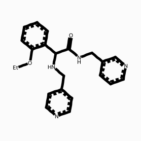 CCOc1ccccc1C(NCc1ccncc1)C(=O)NCc1cccnc1